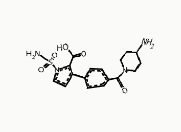 NC1CCN(C(=O)c2ccc(-c3ccn(S(N)(=O)=O)c3C(=O)O)cc2)CC1